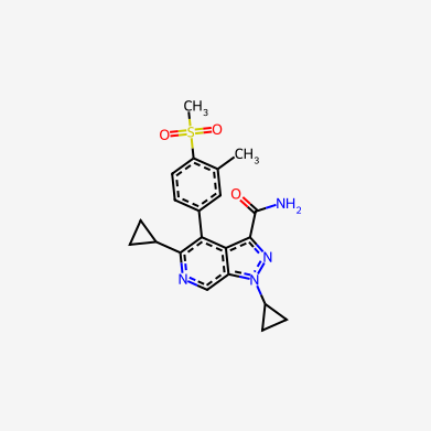 Cc1cc(-c2c(C3CC3)ncc3c2c(C(N)=O)nn3C2CC2)ccc1S(C)(=O)=O